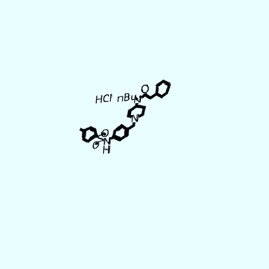 CCCCN(C(=O)CC1CCCCC1)C1CCN(Cc2ccc(NS(=O)(=O)c3ccc(C)cc3)cc2)CC1.Cl